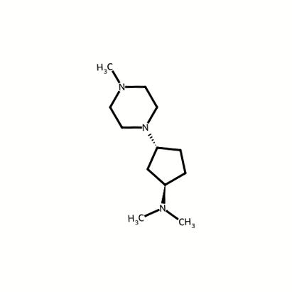 CN1CCN([C@@H]2CC[C@@H](N(C)C)C2)CC1